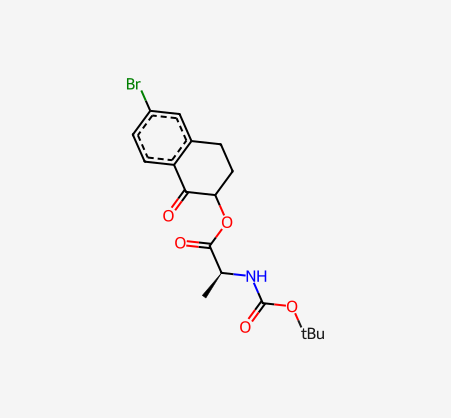 C[C@H](NC(=O)OC(C)(C)C)C(=O)OC1CCc2cc(Br)ccc2C1=O